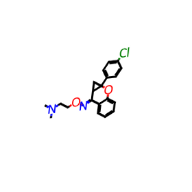 CN(C)CCON=C1c2ccccc2OC2(c3ccc(Cl)cc3)CC12